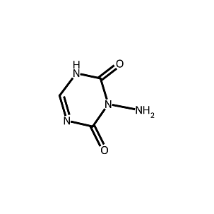 Nn1c(=O)nc[nH]c1=O